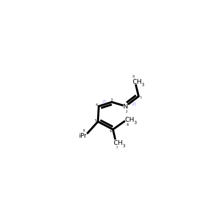 C/C=N\C=C/C(=C(C)C)C(C)C